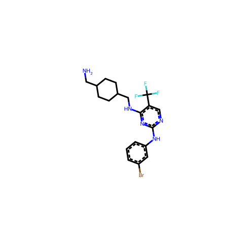 NCC1CCC(CNc2nc(Nc3cccc(Br)c3)ncc2C(F)(F)F)CC1